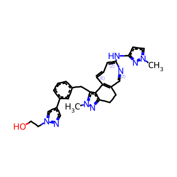 Cn1ccc(NC2=C/C=C/C3=C(/C=N\2)CCc2nn(C)c(Cc4cccc(-c5cnn(CCO)c5)c4)c23)n1